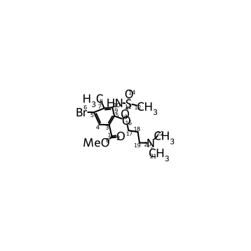 COC(=O)c1cc(Br)c(C)c(NS(C)(=O)=O)c1OCCCN(C)C